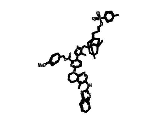 COc1ccc(COC(=O)c2nc(N3CCCc4c3nnc(Nc3nc5ccccc5s3)c4C)ccc2-c2cnn(CC34CC5(C)CC(C)(CC(CCCOS(=O)(=O)c6ccc(C)cc6)(C5)C3)C4)c2C)cc1